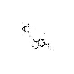 COc1cc2c(OC[C@H]3NC(=O)[C@H]4[C@@H](C)[C@H]43)nccc2cc1C(N)=O